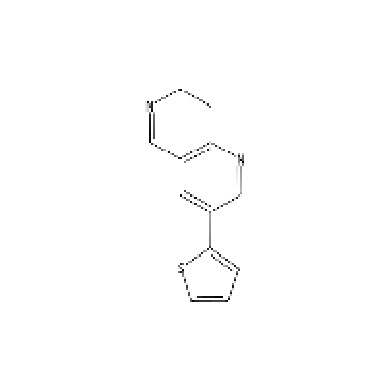 C1=NCCc2ncc(-c3cccs3)cc21